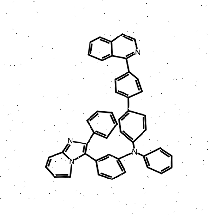 c1ccc(-c2nc3ccccn3c2-c2cccc(N(c3ccccc3)c3ccc(-c4ccc(-c5nccc6ccccc56)cc4)cc3)c2)cc1